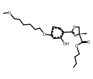 CCCCOC(=O)[C@@]1(C)CSC(c2ccc(OCCCCCCOC)cc2O)=N1